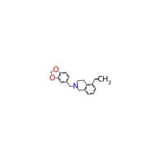 C=Cc1cccc2c1CCN(Cc1ccc3c(c1)OCO3)C2